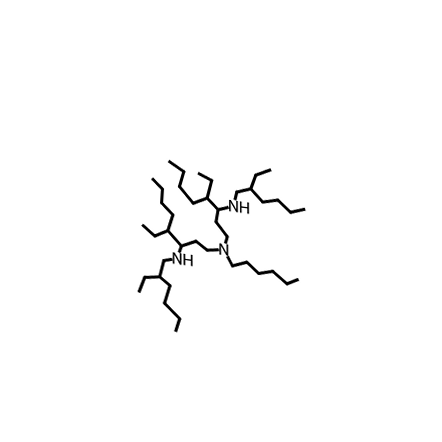 CCCCCCN(CCC(NCC(CC)CCCC)C(CC)CCCC)CCC(NCC(CC)CCCC)C(CC)CCCC